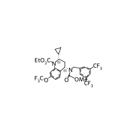 CCOC(=O)N1c2cc(OC(F)(F)F)ccc2[C@@H](N(Cc2cc(C(F)(F)F)cc(C(F)(F)F)c2)C(=O)OC)C[C@H]1C1CC1